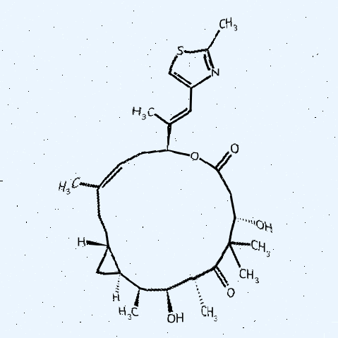 C/C1=C/C[C@@H](/C(C)=C/c2csc(C)n2)OC(=O)C[C@H](O)C(C)(C)C(=O)[C@H](C)[C@@H](O)[C@@H](C)[C@H]2C[C@@H]2C1